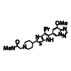 CNC(=O)CN1CCC(c2nc3c(C(C)C)c(-c4cc(OC)c5ncnn5c4)[nH]c3s2)CC1